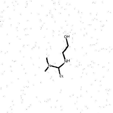 CCC(NCCO)N(C)C